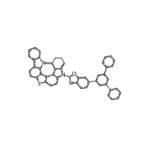 C1=c2c3c(n4c5ccccc5c5ccc6sc7ccc(c3c7c6c54)n2-c2nc3ccc(-c4cc(-c5ccccc5)cc(-c5ccccc5)c4)cc3o2)CC1